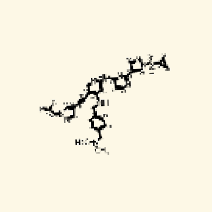 CN(C)Cc1ccc(CNc2cc(Nc3ccnc(-c4cnn(S(=O)(=O)C5CC5)c4)n3)ncc2C#Cc2cnn(CC(F)F)c2)cc1